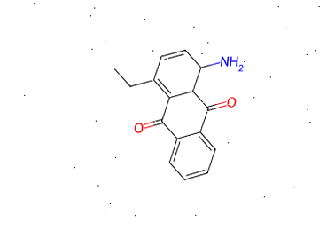 CCC1=C2C(=O)c3ccccc3C(=O)C2C(N)C=C1